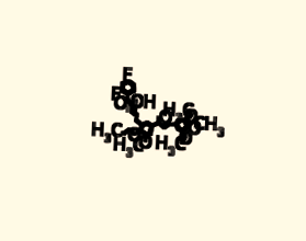 CCCOc1c(CC=CN(O)C(=O)c2ccc(F)cc2F)cc(C2COC(c3cc(OC)c(OC)c(OC)c3)C2)cc1OC